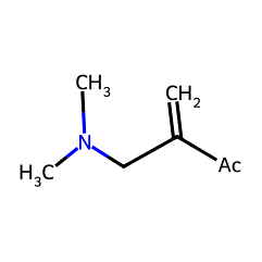 C=C(CN(C)C)C(C)=O